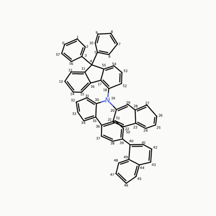 c1ccc(C2(c3ccccc3)c3ccccc3-c3c(N(c4ccc5ccccc5c4)c4ccccc4-c4ccc(-c5cccc6ccccc56)cc4)cccc32)cc1